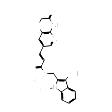 Cc1c(CN(C)C(=O)/C=C/c2cnc3c(c2)OCC(=O)N3)n(C)c2ccccc12